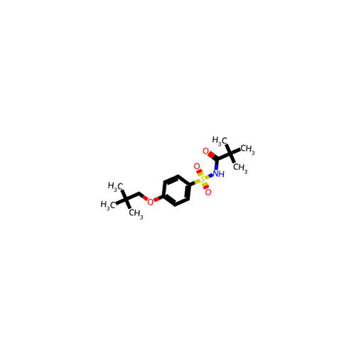 CC(C)(C)COc1ccc(S(=O)(=O)NC(=O)C(C)(C)C)cc1